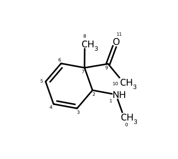 CNC1C=CC=CC1(C)C(C)=O